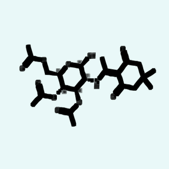 CC(=O)OC[C@H]1O[C@@H](S)[C@H](NC(C)=C2C(=O)CC(C)(C)CC2=O)[C@@H](OC(C)=O)[C@@H]1OC(C)=O